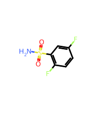 NS(=O)(=O)c1cc(F)ccc1F